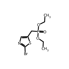 CCOP(=O)(Cc1cnc(Br)s1)OCC